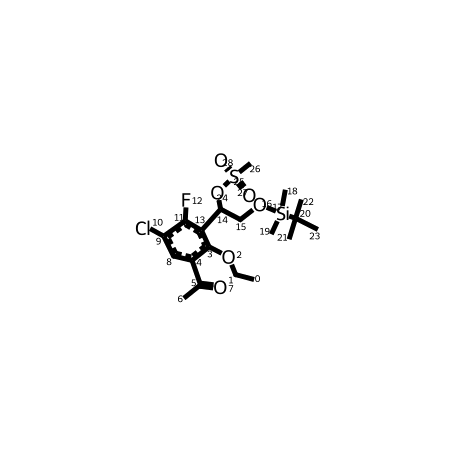 CCOc1c(C(C)=O)cc(Cl)c(F)c1C(CO[Si](C)(C)C(C)(C)C)OS(C)(=O)=O